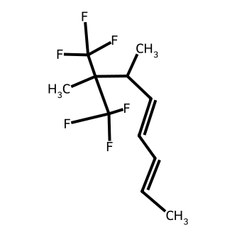 CC=CC=CC(C)C(C)(C(F)(F)F)C(F)(F)F